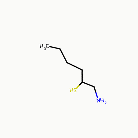 CCCCC(S)CN